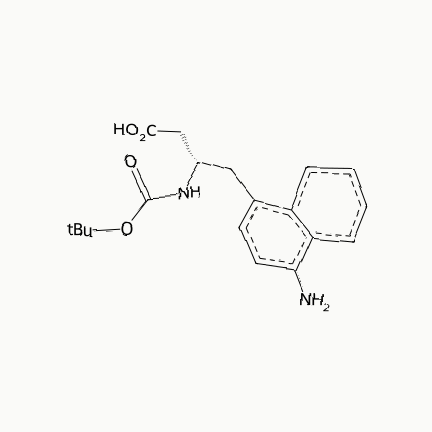 CC(C)(C)OC(=O)N[C@H](CC(=O)O)Cc1ccc(N)c2ccccc12